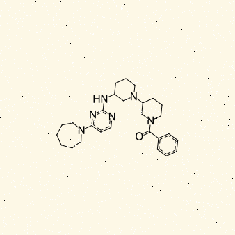 O=C(c1ccccc1)N1CCCC(N2CCCC(Nc3nccc(N4CCCCCC4)n3)C2)C1